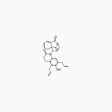 C=CCc1cc2c(c(CC=C)c1O)CCC(=O)N2C1CCN2C(=O)C3=CC=CCC31C2=O